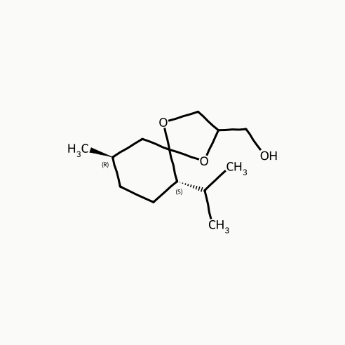 CC(C)[C@@H]1CC[C@@H](C)CC12OCC(CO)O2